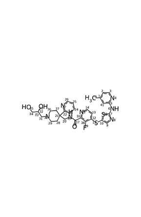 Cc1ccnc(Nc2ncc(Sc3ccnc(C(=O)NCC4(c5ccccn5)CCN(C[C@H](O)CO)CC4)c3F)s2)c1